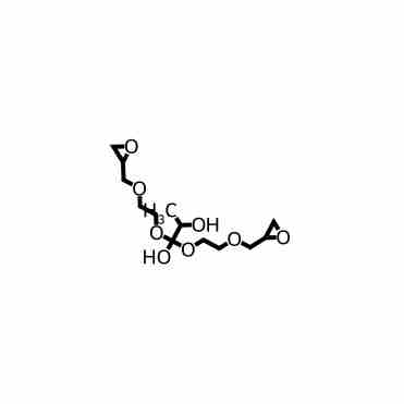 CC(O)C(O)(OCCOCC1CO1)OCCOCC1CO1